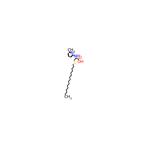 CCCCCCCCCCCCCCCCSCC(Nc1cccc(C)n1)C(=O)O